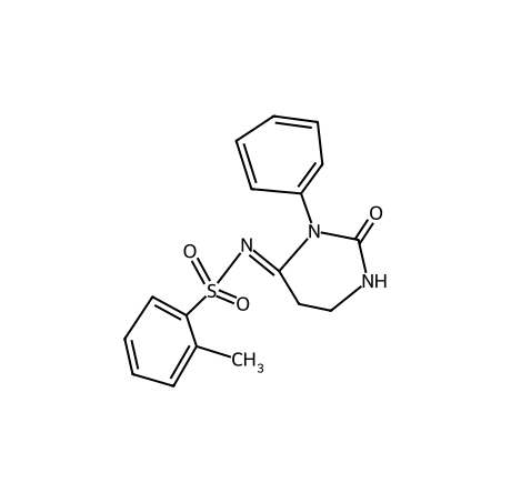 Cc1ccccc1S(=O)(=O)N=C1CCNC(=O)N1c1ccccc1